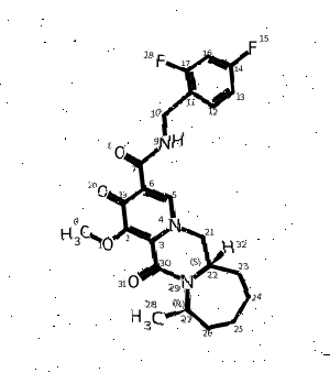 COc1c2n(cc(C(=O)NCc3ccc(F)cc3F)c1=O)C[C@@H]1CCCC[C@@H](C)N1C2=O